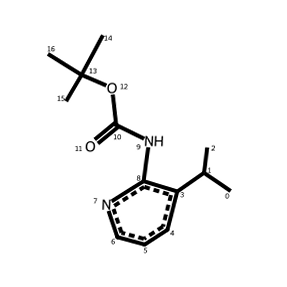 CC(C)c1cccnc1NC(=O)OC(C)(C)C